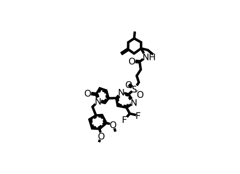 C=C1CC(C)CC(CC)(NC(=O)CCCS(=O)(=O)c2nc(-c3ccc(=O)n(Cc4ccc(OC)c(OC)c4)c3)cc(C(F)F)n2)C1